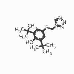 CC(C)(C)c1cc(SCn2cnnn2)cc(C(C)(C)C)c1O